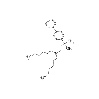 CCCCCCN(CCCCCC)CCC(C)(O)c1ccc(-c2ccccc2)cc1